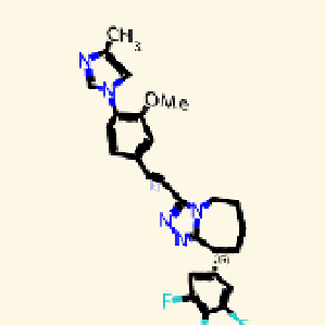 COc1cc(/C=C/c2nnc3n2CCCC[C@@H]3c2cc(F)c(F)c(F)c2)ccc1-n1cnc(C)c1